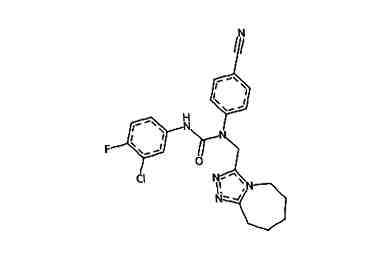 N#Cc1ccc(N(Cc2nnc3n2CCCCC3)C(=O)Nc2ccc(F)c(Cl)c2)cc1